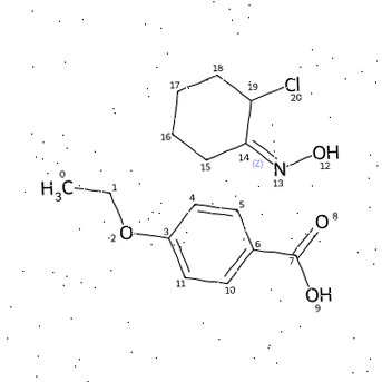 CCOc1ccc(C(=O)O)cc1.O/N=C1/CCCCC1Cl